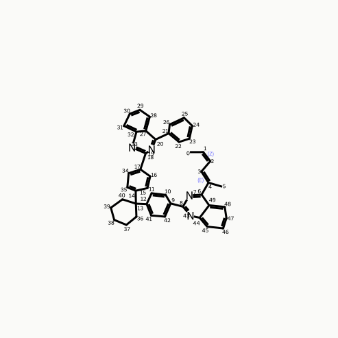 C/C=C\C=C(/C)c1nc(-c2ccc(C3(c4ccc(-c5nc(-c6ccccc6)c6ccccc6n5)cc4)CCCCC3)cc2)nc2ccccc12